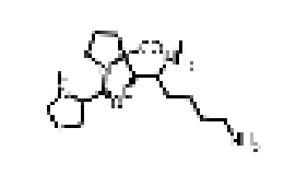 NCCCCC(N)C(=O)C1(C(=O)O)CCCN1C(=O)C1CCCN1